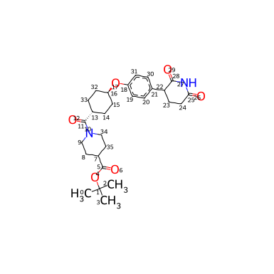 CC(C)(C)OC(=O)C1CCN(C(=O)[C@H]2CC[C@H](Oc3ccc(C4CCC(=O)NC4=O)cc3)CC2)CC1